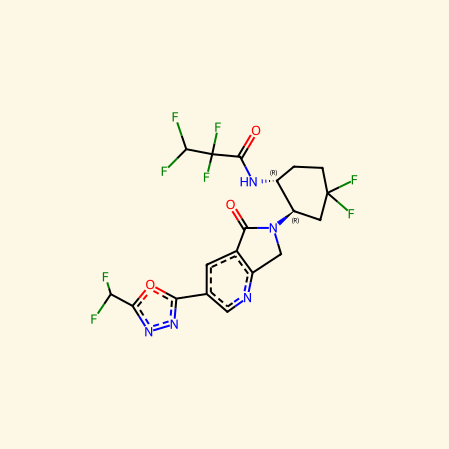 O=C1c2cc(-c3nnc(C(F)F)o3)cnc2CN1[C@@H]1CC(F)(F)CC[C@H]1NC(=O)C(F)(F)C(F)F